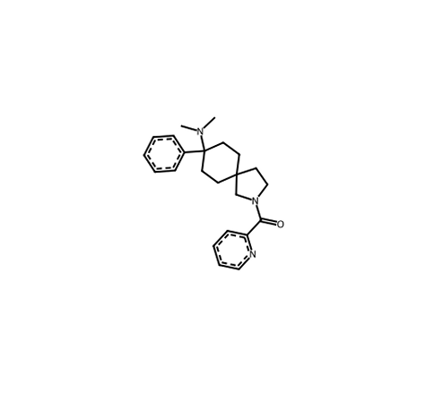 CN(C)C1(c2ccccc2)CCC2(CCN(C(=O)c3ccccn3)C2)CC1